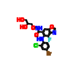 O=C(NOCC(O)CO)c1cc2ocnc2c(F)c1Nc1ccc(Br)cc1Cl